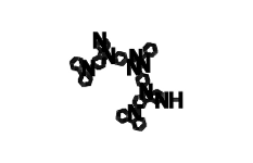 C1=c2c(n(-c3ccc(-c4nc(-c5ccccc5)nc(-c5ccc(-n6c7ccncc7c7cc(-n8c9ccccc9c9ccccc98)ccc76)cc5)n4)cc3)c3ccc(-n4c5ccccc5c5ccccc54)cc23)=CCN1